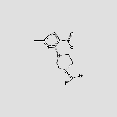 Cc1ccc([N+](=O)[O-])c(N2CCC(=C(F)Br)CC2)n1